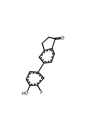 O=C1CCc2cc(-c3ccc(O)c(F)c3)ccc21